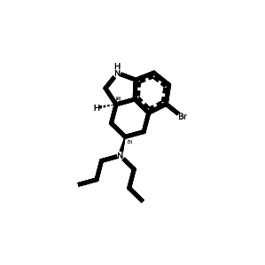 CCCN(CCC)[C@@H]1Cc2c(Br)ccc3c2[C@H](CN3)C1